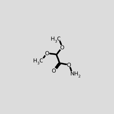 COC(OC)C(=O)ON